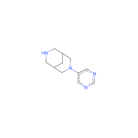 c1ncc(N2CC3CNCC(C3)C2)cn1